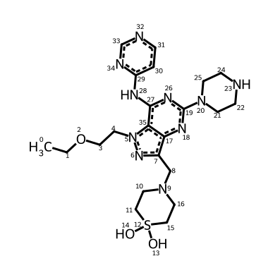 CCOCCn1nc(CN2CCS(O)(O)CC2)c2nc(N3CCNCC3)nc(Nc3ccncn3)c21